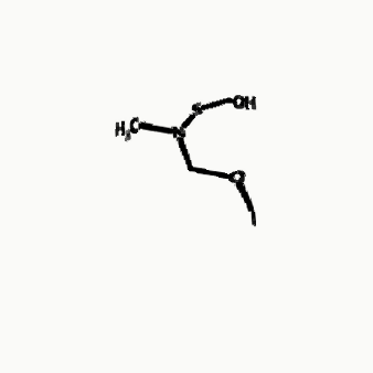 CN(COI)SO